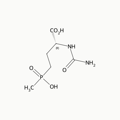 CP(=O)(O)CC[C@@H](NC(N)=O)C(=O)O